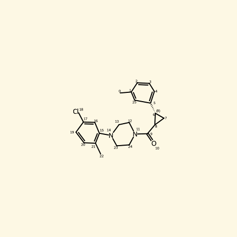 Cc1cccc([C@@H]2CC2C(=O)N2CCN(c3cc(Cl)ccc3C)CC2)c1